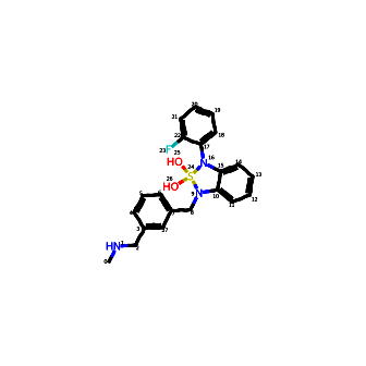 CNCc1cccc(CN2c3ccccc3N(c3ccccc3F)S2(O)O)c1